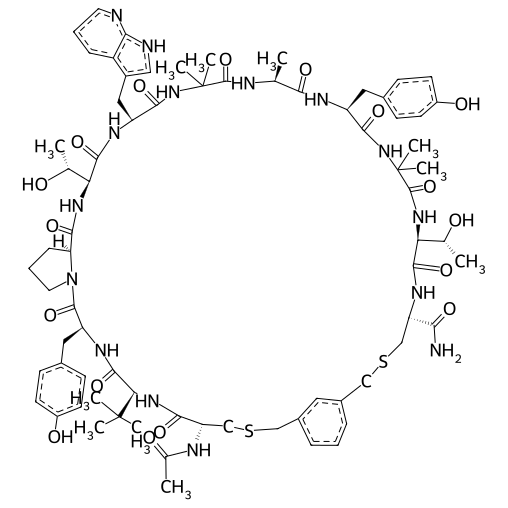 CC(=O)N[C@H]1CSCc2cccc(c2)CSC[C@@H](C(N)=O)NC(=O)[C@H]([C@@H](C)O)NC(=O)C(C)(C)NC(=O)[C@H](Cc2ccc(O)cc2)NC(=O)[C@H](C)NC(=O)C(C)(C)NC(=O)[C@H](Cc2c[nH]c3ncccc23)NC(=O)[C@H]([C@@H](C)O)NC(=O)[C@@H]2CCCN2C(=O)[C@H](Cc2ccc(O)cc2)NC(=O)[C@H](C(C)(C)C)NC1=O